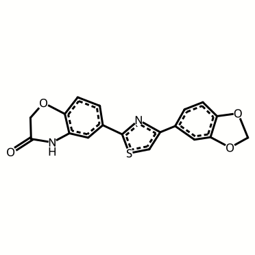 O=C1COc2ccc(-c3nc(-c4ccc5c(c4)OCO5)cs3)cc2N1